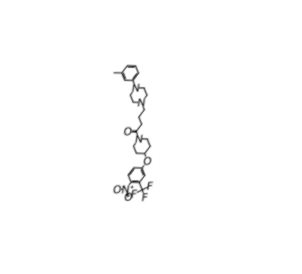 Cc1cccc(N2CCN(CCCC(=O)N3CCC(Oc4ccc([N+](=O)[O-])c(C(F)(F)F)c4)CC3)CC2)c1